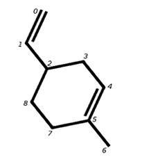 C=CC1CC=C(C)CC1